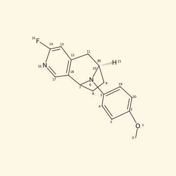 COc1ccc(N2C3CC[C@@H]2Cc2cc(F)ncc23)cc1